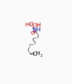 CC/C=C\C/C=C\C/C=C\C/C=C\C/C=C\C/C=C\CCC(=O)NCC(O)CO